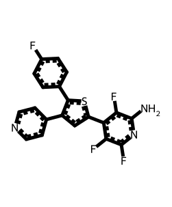 Nc1nc(F)c(F)c(-c2cc(-c3ccncc3)c(-c3ccc(F)cc3)s2)c1F